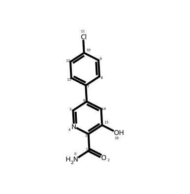 NC(=O)c1ncc(-c2ccc(Cl)cc2)cc1O